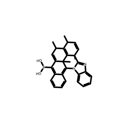 CC1C=CC2(C)C3=C1C(C)C=C1C(B(O)O)=c4ccccc4=C(n4c2nc2ccccc24)C13C